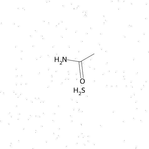 CC(N)=O.S